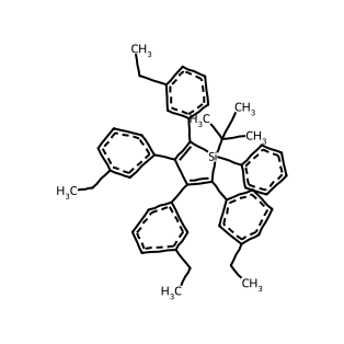 CCc1cccc(C2=C(c3cccc(CC)c3)[Si](c3ccccc3)(C(C)(C)C)C(c3cccc(CC)c3)=C2c2cccc(CC)c2)c1